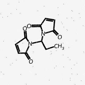 CCC(N1C(=O)C=CC1=O)N1C(=O)C=CC1=O